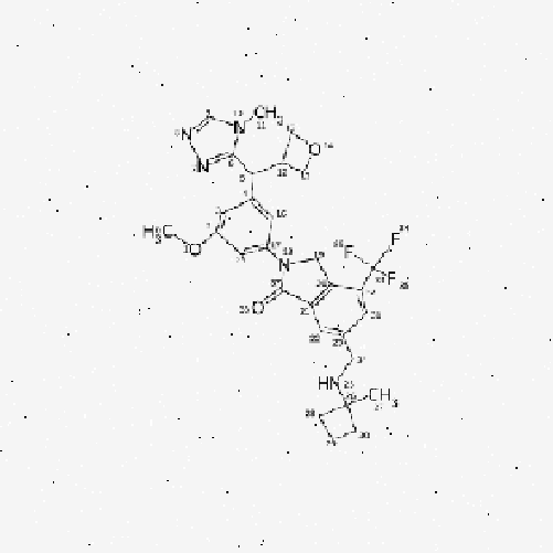 COc1cc(C(c2nncn2C)C2COC2)cc(N2Cc3c(cc(CNC4(C)CCC4)cc3C(F)(F)F)C2=O)c1